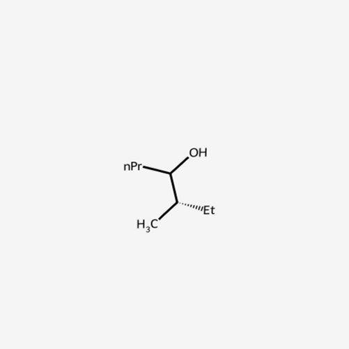 CCCC(O)[C@@H](C)CC